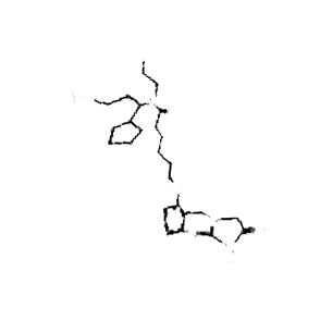 CCCC(C1CCCC1)N(CCO)C(=O)CCCCCOc1cccc2c1CN1CC(=O)NC1=N2